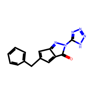 O=C1C2=CC(Cc3ccccc3)=CC2=NN1c1nnn[nH]1